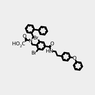 O=C(O)C(=O)N(Cc1ccccc1-c1ccccc1)Cc1c(Br)cc(C(=O)NCCc2ccc(Oc3ccccc3)cc2)cc1Br